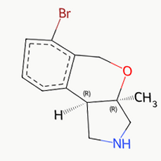 C[C@]12CNC[C@H]1c1cccc(Br)c1CO2